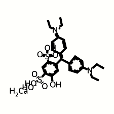 CCN(CC)c1ccc(C(=C2C=CC(=[N+](CC)CC)C=C2)c2cc(O)c(S(=O)(=O)O)cc2S(=O)(=O)O)cc1.[CaH2].[OH-]